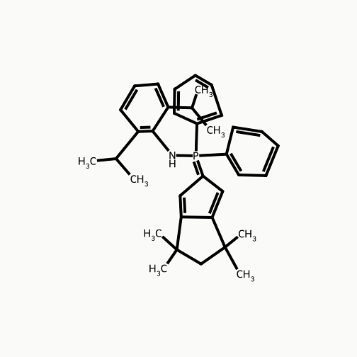 CC(C)c1cccc(C(C)C)c1NP(=C1C=C2C(=C1)C(C)(C)CC2(C)C)(c1ccccc1)c1ccccc1